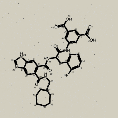 O=C(O)c1cc(NC(=O)C(Cc2ccccc2F)NC(=O)c2cc3[nH]cnc3cc2C(=O)NCC2CCCCCC2)cc(C(=O)O)c1